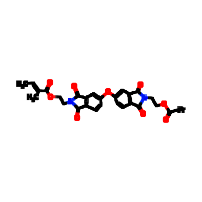 C/C=C(\C)C(=O)OCCN1C(=O)c2ccc(Oc3ccc4c(c3)C(=O)N(CCOC(=O)C(C)C)C4=O)cc2C1=O